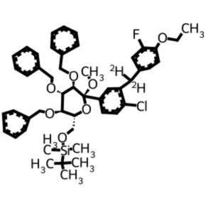 [2H]C([2H])(c1ccc(OCC)c(F)c1)c1cc([C@]2(OC)O[C@H](CO[Si](C)(C)C(C)(C)C)[C@@H](OCc3ccccc3)[C@H](OCc3ccccc3)[C@H]2OCc2ccccc2)ccc1Cl